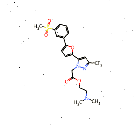 CN(C)CCOC(=O)Cn1nc(C(F)(F)F)cc1-c1ccc(-c2cccc(S(C)(=O)=O)c2)o1